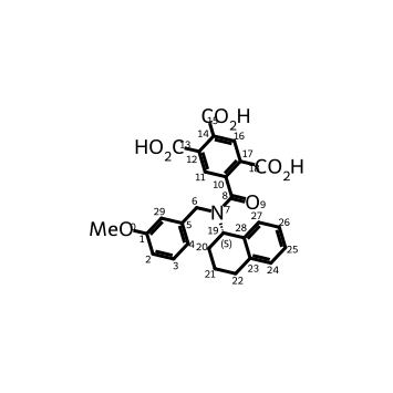 COc1cccc(CN(C(=O)c2cc(C(=O)O)c(C(=O)O)cc2C(=O)O)[C@H]2CCCc3ccccc32)c1